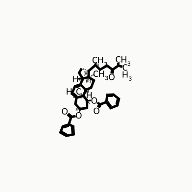 CC(C)C(=O)CC[C@@H](C)[C@H]1CC[C@H]2C3=CC=C4C[C@@H](OC(=O)c5ccccc5)C[C@H](OC(=O)c5ccccc5)[C@]4(C)[C@H]3CC[C@]12C